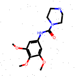 COc1cc(NC(=O)N2CC[N]CC2)cc(OC)c1OC